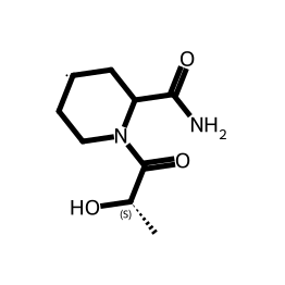 C[C@H](O)C(=O)N1CC[CH]CC1C(N)=O